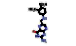 Nc1nc2ncc(CNc3ccc(C(=O)O)c(C(=O)O)c3)nc2c(=O)[nH]1